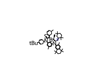 C#CC1=C(/C=C2\CC(C)(C)CCC2(C)C)N(c2cc3c(cc2C)C(C)(C)CCC3(C)C)c2cc(C)cc3c2B1c1c(sc2c1CC(C)C=C2)N3C1C=CC(C(C)(C)C)=CC1